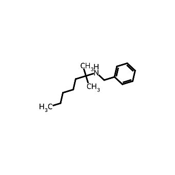 CCCCCC(C)(C)NCc1ccccc1